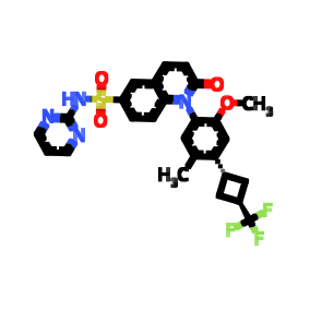 COc1cc([C@H]2C[C@H](C(F)(F)F)C2)c(C)cc1-n1c(=O)ccc2cc(S(=O)(=O)Nc3ncccn3)ccc21